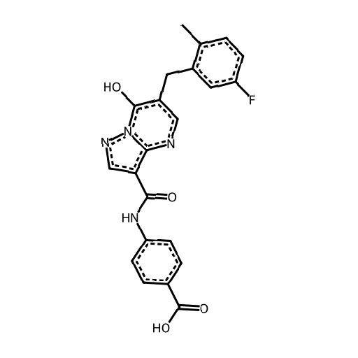 Cc1ccc(F)cc1Cc1cnc2c(C(=O)Nc3ccc(C(=O)O)cc3)cnn2c1O